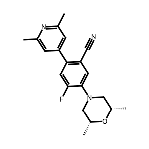 Cc1cc(-c2cc(F)c(N3C[C@@H](C)O[C@@H](C)C3)cc2C#N)cc(C)n1